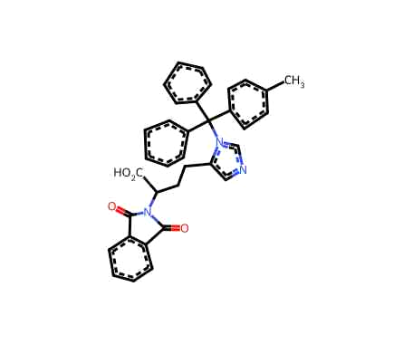 Cc1ccc(C(c2ccccc2)(c2ccccc2)n2cncc2CCC(C(=O)O)N2C(=O)c3ccccc3C2=O)cc1